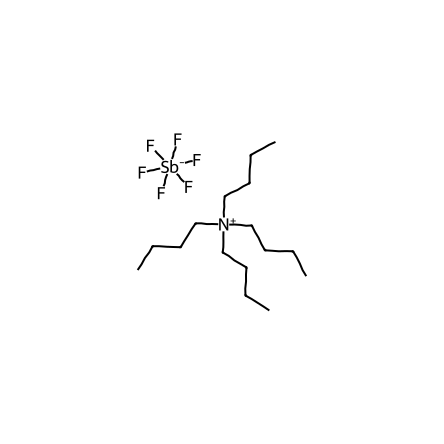 CCCC[N+](CCCC)(CCCC)CCCC.[F][Sb-]([F])([F])([F])([F])[F]